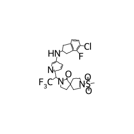 CS(=O)(=O)N1CCC2(CCN(C(c3ccc(NC4Cc5ccc(Cl)c(F)c5C4)cn3)C(F)(F)F)C2=O)CC1